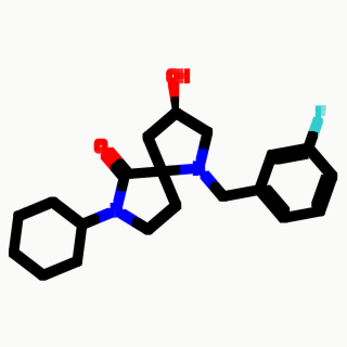 O=C1N(C2CCCCC2)CCC12C[C@@H](O)CN2Cc1cccc(F)c1